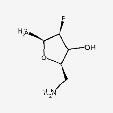 B[C@@H]1O[C@H](CN)C(O)[C@@H]1F